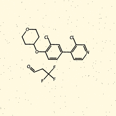 Clc1cc(-c2ccncc2Cl)ccc1OC1CCOCC1.O=CCC(F)(F)F